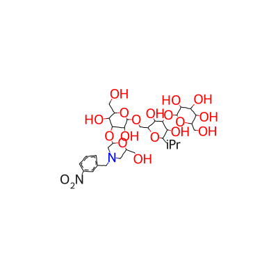 CC(C)C1OC(COC2OC(CO)C(O)C(OC3CN(Cc4cccc([N+](=O)[O-])c4)CC(CO)O3)C2O)C(O)C(OC2OC(CO)C(O)C(O)C2O)C1O